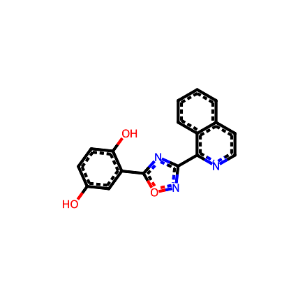 Oc1ccc(O)c(-c2nc(-c3nccc4ccccc34)no2)c1